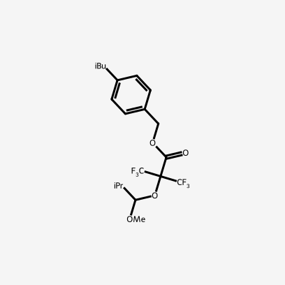 CCC(C)c1ccc(COC(=O)C(OC(OC)C(C)C)(C(F)(F)F)C(F)(F)F)cc1